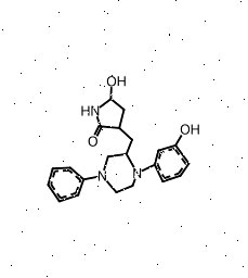 O=C1NC(O)CC1CC1CN(c2ccccc2)CCN1c1cccc(O)c1